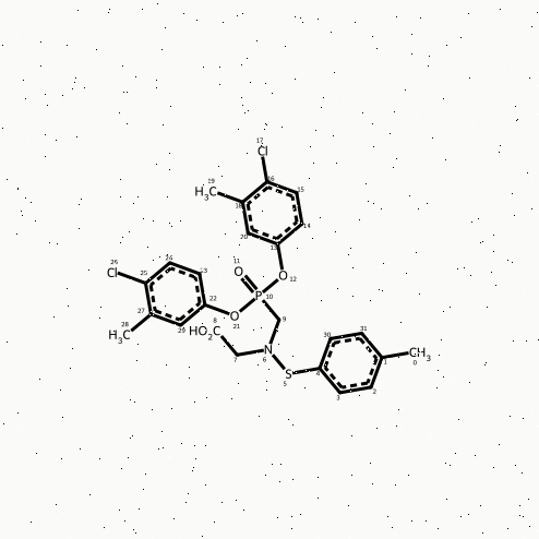 Cc1ccc(SN(CC(=O)O)CP(=O)(Oc2ccc(Cl)c(C)c2)Oc2ccc(Cl)c(C)c2)cc1